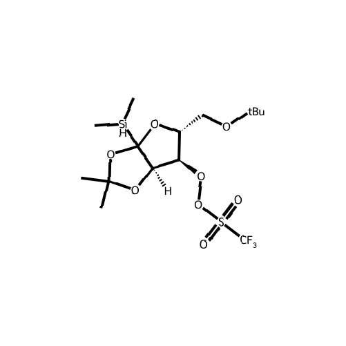 C[SiH](C)C12O[C@H](COC(C)(C)C)[C@@H](OOS(=O)(=O)C(F)(F)F)[C@H]1OC(C)(C)O2